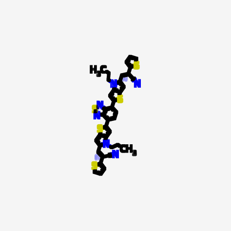 CCCn1c(/C=C(\C#N)c2cccs2)cc2sc(-c3ccc(-c4cc5c(cc(/C=C(\C#N)c6cccs6)n5CCC)s4)c4nsnc34)cc21